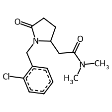 CN(C)C(=O)CC1CCC(=O)N1Cc1ccccc1Cl